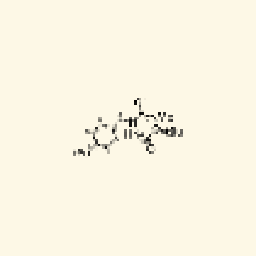 CNC(=O)N(Cc1ccc(C(C)(C)C)cc1)NC(=O)OC(C)(C)C